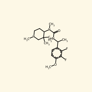 COc1ccc(C(C)NC(=O)N(C)C2CCN(C)CC2(C)C)c(F)c1F